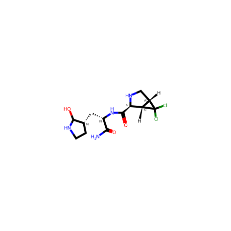 NC(=O)[C@H](C[C@@H]1CCNC1O)NC(=O)[C@H]1NC[C@H]2[C@@H]1C2(Cl)Cl